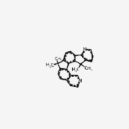 CC1(C)c2ccc3c(c2-c2c1ccc1ccncc21)C(C)(C)c1cccnc1-3